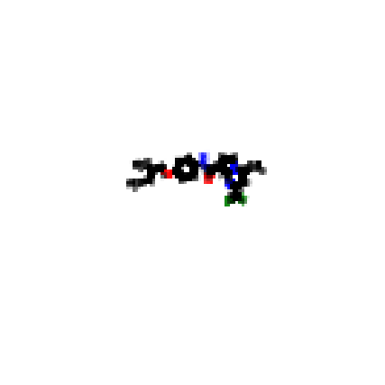 CCC(C)CO[C@H]1CC[C@H](NC(=O)c2ccn3c(C)cc(C(F)F)nc23)CC1